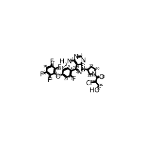 Nc1ncnc2c1c(-c1ccc(Oc3c(F)c(F)cc(F)c3F)cc1F)nn2C1CCN(C(=O)C(Cl)CO)C1